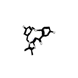 COc1ccc(Cl)cc1C(=O)/C=C1\SC(C)=C(C)N1Cc1cccc(F)c1